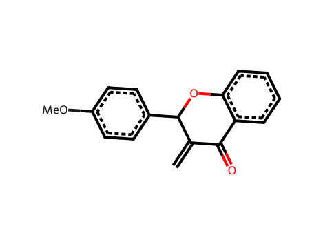 C=C1C(=O)c2ccccc2OC1c1ccc(OC)cc1